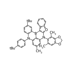 Cc1cc2c3c(c1)N(c1c(C)cc4c(c1C)OCO4)c1oc4ccccc4c1B3c1cc(C(C)(C)C)ccc1N2c1ccc(C(C)(C)C)cc1